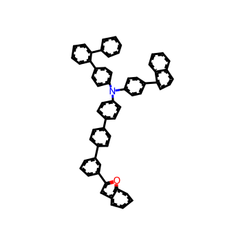 c1ccc(-c2ccccc2-c2ccc(N(c3ccc(-c4ccc(-c5cccc(-c6cc7ccccc7o6)c5)cc4)cc3)c3ccc(-c4cccc5ccccc45)cc3)cc2)cc1